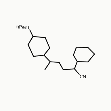 CCCCCC1CCC(C(C)CCC(C#N)C2CCCCC2)CC1